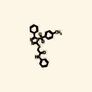 Cc1ccc(S(=O)(=O)n2c(SCC(=O)Nc3ccccc3)nnc2C2C=CC=CC2)cc1